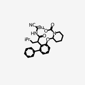 CC(C)CC(C(=O)NCC#N)c1c(OC2CCCCN2C(=O)OC(C)(C)C)cccc1-c1ccccc1